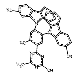 Cc1nc(C)nc(-c2cc(-n3c4ccccc4c4ccc(C#N)cc43)c(-n3c4ccccc4c4ccc(C#N)cc43)cc2C#N)n1